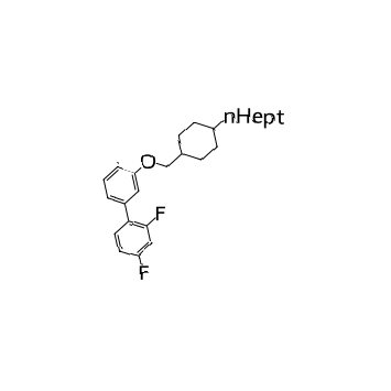 CCCCCCCC1CCC(COc2[c]ccc(-c3ccc(F)cc3F)c2)CC1